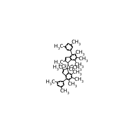 C[CH2][Zr]([Cl])([Cl])([CH]1C(C)=Cc2c(-c3cc(C)cc(C)c3)c(C)c(C)c(C)c21)[CH]1C(C)=Cc2c(-c3cc(C)cc(C)c3)c(C)c(C)c(C)c21